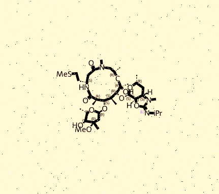 CO[C@]1(C)C[C@H](O[C@H]2[C@H](C)[C@@H](O[C@@H]3O[C@H](C)C[C@H]4[C@H]3O/C(=N/C(C)C)N4C)[C@](C)(O)C[C@@H](C)CN(C)C(=O)C[C@@H](CCSC)NC(=O)[C@@H]2C)O[C@@H](C)[C@@H]1O